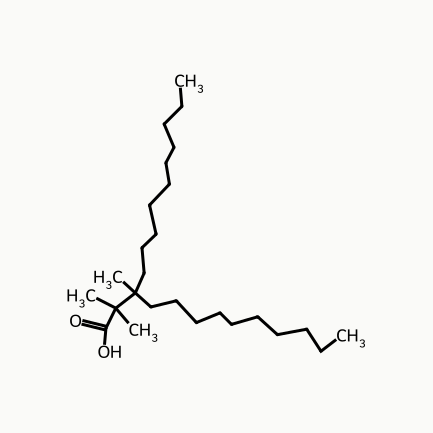 CCCCCCCCCCC(C)(CCCCCCCCCC)C(C)(C)C(=O)O